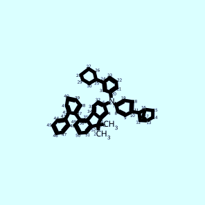 CC1(C)c2cc(N(c3ccc(C4CC5CCC4C5)cc3)c3cccc(C4CCCCC4)c3)ccc2-c2c(-c3ccccc3-c3ccccc3)cccc21